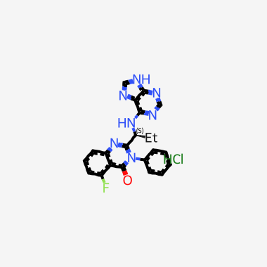 CC[C@H](Nc1ncnc2[nH]cnc12)c1nc2cccc(F)c2c(=O)n1-c1ccccc1.Cl